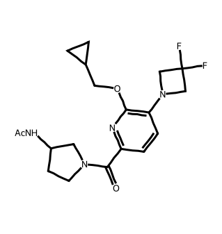 CC(=O)NC1CCN(C(=O)c2ccc(N3CC(F)(F)C3)c(OCC3CC3)n2)C1